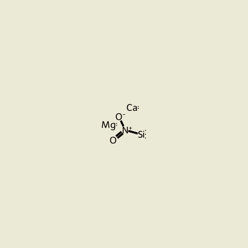 O=[N+]([O-])[Si].[Ca].[Mg]